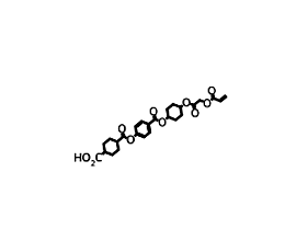 C=CC(=O)OCC(=O)OC1CCC(OC(=O)c2ccc(OC(=O)C3CCC(C(=O)O)CC3)cc2)CC1